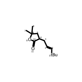 CC(C)(C)/C=C/CC1CC(C)(C)OC1=O